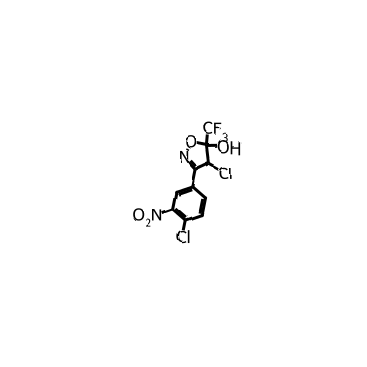 O=[N+]([O-])c1cc(C2=NOC(O)(C(F)(F)F)C2Cl)ccc1Cl